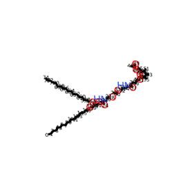 CCCCCCCCCCCCCCCCCCOC[C@H](COC(=O)NCCOCCOCCCNC(=O)CCCOC1OC(COC(C)=O)C(C)C(C)C1C)OCCCCCCCCCCCCCCCCCC